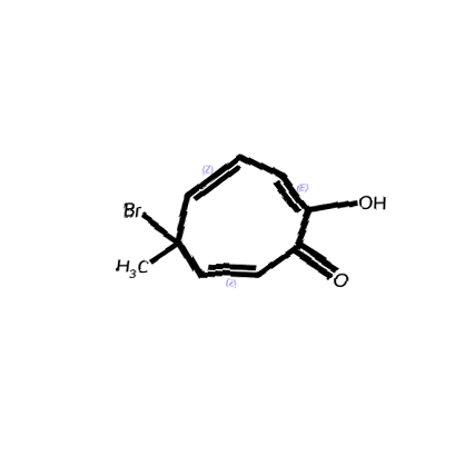 CC1(Br)/C=C\C=C(\O)C(=O)/C=C\1